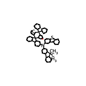 CC1(C)c2ccccc2-c2ccc(N(c3ccc4c(c3)C3(c5ccccc5-4)c4ccccc4C(c4ccccc4)(c4ccccc4)c4ccccc43)c3ccc4sc5ccccc5c4c3)cc21